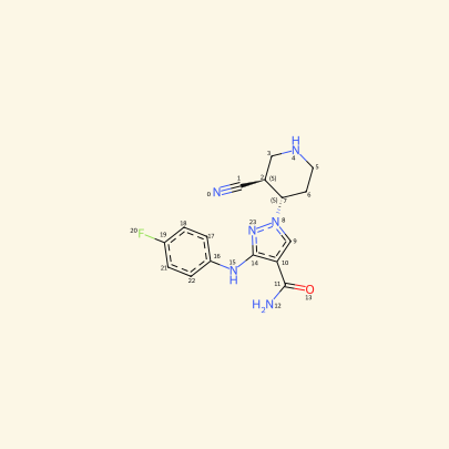 N#C[C@H]1CNCC[C@@H]1n1cc(C(N)=O)c(Nc2ccc(F)cc2)n1